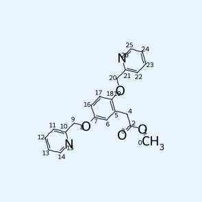 COC(=O)Cc1cc(OCc2ccccn2)ccc1OCc1ccccn1